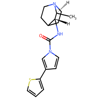 C[C@H]1[C@H](NC(=O)n2ccc(-c3cccs3)c2)C2CCN1CC2